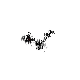 CCCC1O[C@@H]2C[C@@]3(C)[C@@H]4CCC5=CC(=O)C=C[C@]5(C)[C@H]4[C@@H](O)C[C@]3(C)[C@]2(C(=O)COC(=O)CCC(=O)OCc2ccc(NC(=O)[C@H](CCCNC(N)=O)NC(=O)[C@@H](NC(=O)CCOCCOCCOCCOCCNC(=O)CCC(=O)N3Cc4ccccc4C#Cc4ccccc43)C(C)C)cc2)O1